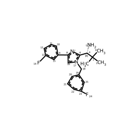 CC(C)(C)[C@@H](N)c1nc(-c2cccc(F)c2)cn1Cc1cccc(F)c1